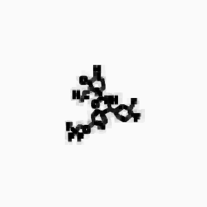 C[C@@H]1C(=O)NCCN1C(=O)NC(c1ccc(OCC(F)(F)F)nc1)c1ccc(F)c(F)c1